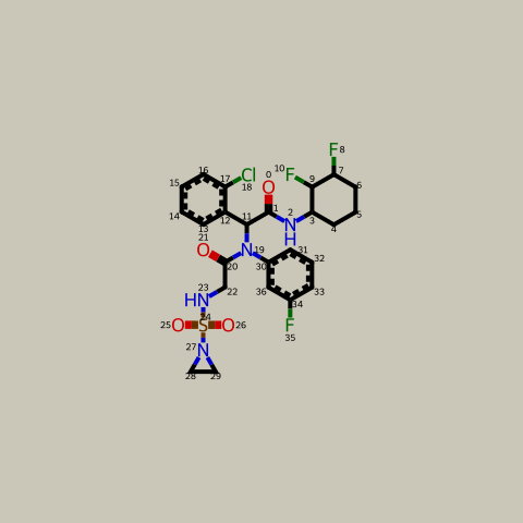 O=C(NC1CCCC(F)C1F)C(c1ccccc1Cl)N(C(=O)CNS(=O)(=O)N1CC1)c1cccc(F)c1